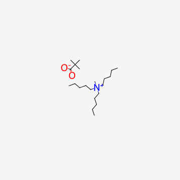 CC(C)(C)C(=O)[O-].CCCCC[N+](C)(CCCCC)CCCCC